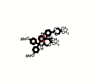 COc1ccc(C(NC2=N[C@](C)(c3cc(B4OCC(C)(C)CO4)ccc3F)C(F)(F)C(C)(C)OC2)(c2ccccc2)c2ccc(OC)cc2)cc1